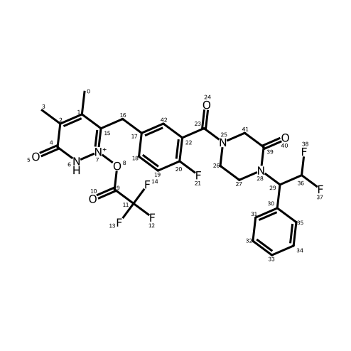 Cc1c(C)c(=O)[nH][n+](OC(=O)C(F)(F)F)c1Cc1ccc(F)c(C(=O)N2CCN(C(c3ccccc3)C(F)F)C(=O)C2)c1